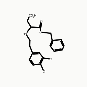 O=C(O)CC(NCCc1ccc(Cl)c(Cl)c1)C(=O)OCc1ccccc1